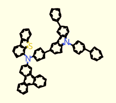 c1ccc(-c2ccc(-n3c4ccc(-c5ccccc5)cc4c4cc(-c5ccc(N(c6ccc7c8ccccc8c8ccccc8c7c6)c6cccc7c6sc6ccccc67)cc5)ccc43)cc2)cc1